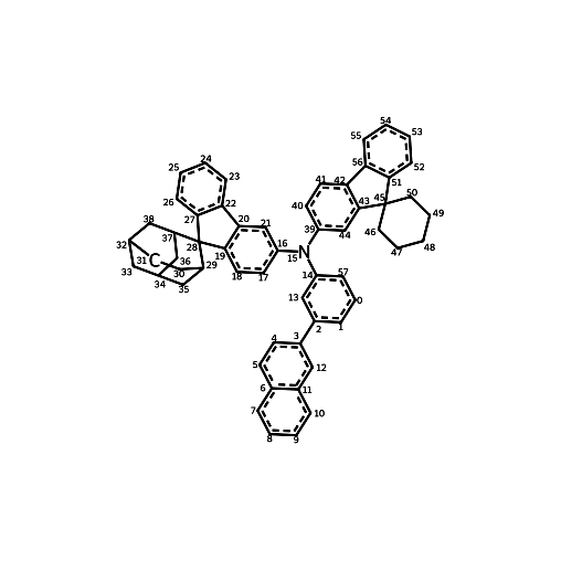 c1cc(-c2ccc3ccccc3c2)cc(N(c2ccc3c(c2)-c2ccccc2C32C3CCC4CC(C3)CC2C4)c2ccc3c(c2)C2(CCCCC2)c2ccccc2-3)c1